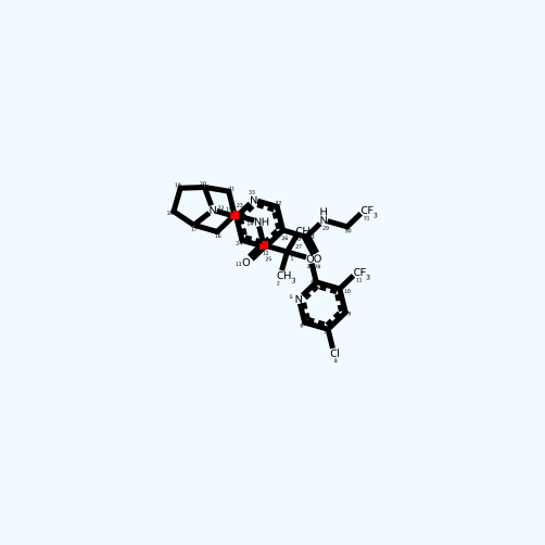 CC(C)(Oc1ncc(Cl)cc1C(F)(F)F)C(=O)NC1CC2CCC(C1)N2c1ccc(C(=O)NCC(F)(F)F)cn1